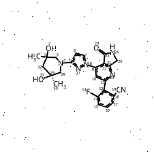 CC1(O)CN(c2ccn(-c3cc(-c4c(F)cccc4C#N)nc4c3C(=O)NC4)n2)C[C@@](C)(O)C1